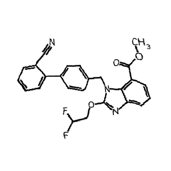 COC(=O)c1cccc2nc(OCC(F)F)n(Cc3ccc(-c4ccccc4C#N)cc3)c12